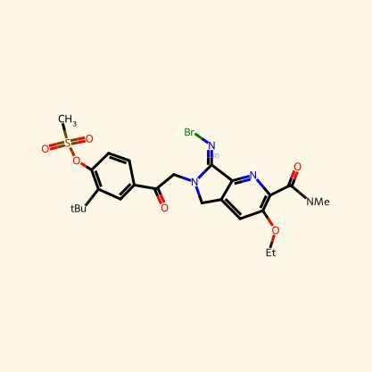 CCOc1cc2c(nc1C(=O)NC)/C(=N/Br)N(CC(=O)c1ccc(OS(C)(=O)=O)c(C(C)(C)C)c1)C2